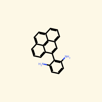 Nc1cccc(N)c1-c1cc2cccc3ccc4cccc1c4c32